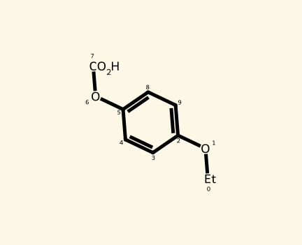 CCOc1ccc(OC(=O)O)cc1